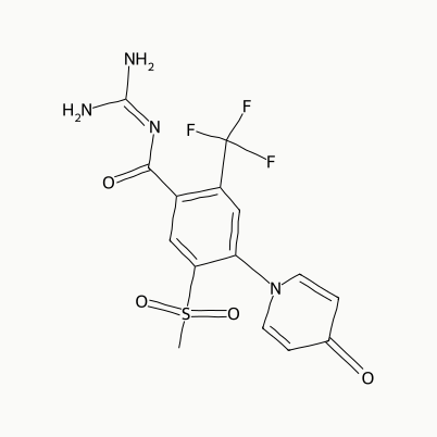 CS(=O)(=O)c1cc(C(=O)N=C(N)N)c(C(F)(F)F)cc1-n1ccc(=O)cc1